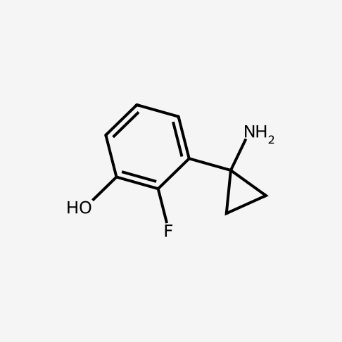 NC1(c2cccc(O)c2F)CC1